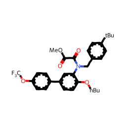 CCCCOc1ccc(-c2ccc(OC(F)(F)F)cc2)cc1N(Cc1ccc(C(C)(C)C)cc1)C(=O)C(=O)OC